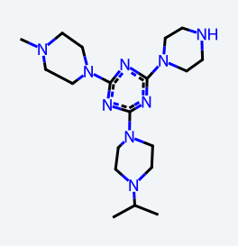 CC(C)N1CCN(c2nc(N3CCNCC3)nc(N3CCN(C)CC3)n2)CC1